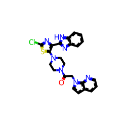 O=C(Cn1ccc2cccnc21)N1CCN(c2sc(Cl)nc2-c2nc3ccccc3[nH]2)CC1